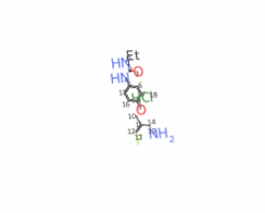 CCNC(=O)Nc1ccc(OC/C(=C/F)CN)cc1.Cl